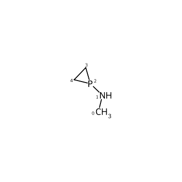 CNP1CC1